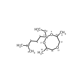 CO[Si]1(CCCN(C)C)OC(C)COCC(C)O1